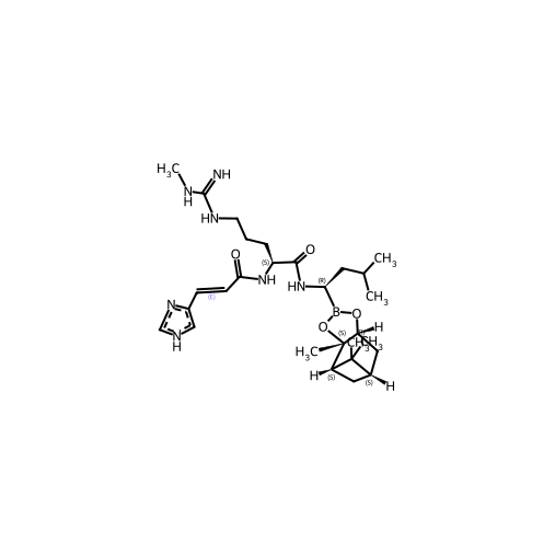 CNC(=N)NCCC[C@H](NC(=O)/C=C/c1c[nH]cn1)C(=O)N[C@@H](CC(C)C)B1O[C@@H]2C[C@@H]3C[C@@H](C3(C)C)[C@]2(C)O1